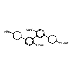 CCCCCC1CCC(c2ccc(OC)c(-c3cc(C4CCC(CCCC)CC4)ccc3OC)c2)CC1